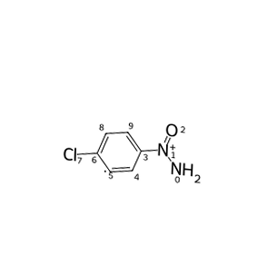 N[N+](=O)c1c[c]c(Cl)cc1